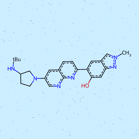 Cn1cc2cc(-c3ccc4cc(N5CCC(NC(C)(C)C)C5)cnc4n3)c(O)cc2n1